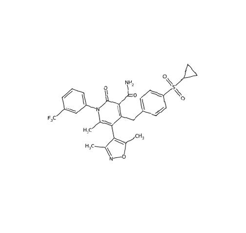 Cc1noc(C)c1-c1c(Cc2ccc(S(=O)(=O)C3CC3)cc2)c(C(N)=O)c(=O)n(-c2cccc(C(F)(F)F)c2)c1C